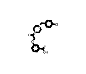 O=C(O)c1cccc(OCC(=O)N2CCN(Cc3ccc(Cl)cc3)CC2)c1